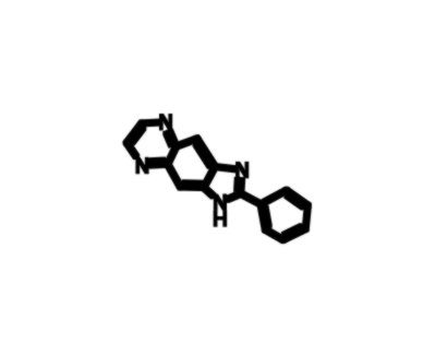 c1ccc(-c2nc3cc4nccnc4cc3[nH]2)cc1